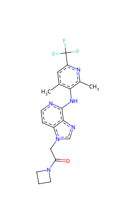 Cc1cc(C(F)(F)F)nc(C)c1Nc1nccc2c1ncn2CC(=O)N1CCC1